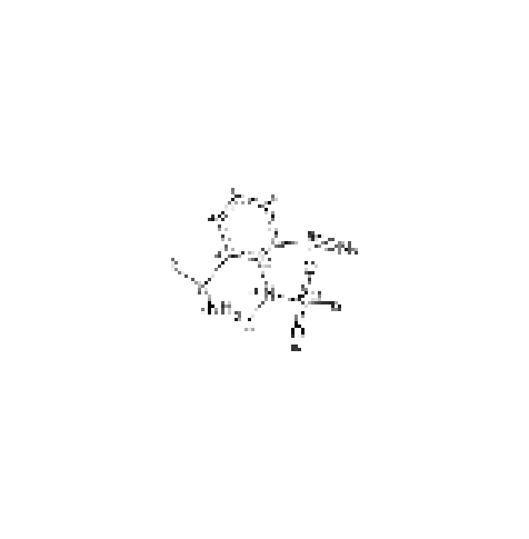 CC(N)c1cccc(C#N)c1N(C)S(C)(=O)=O